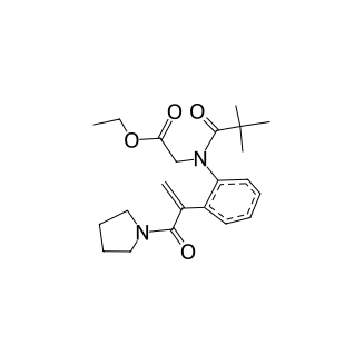 C=C(C(=O)N1CCCC1)c1ccccc1N(CC(=O)OCC)C(=O)C(C)(C)C